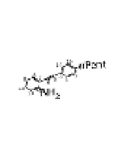 CCCCCc1ccc(C#Cc2ccccc2N)cc1